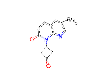 Bc1cnc2c(ccc(=O)n2C2CC(=O)C2)c1